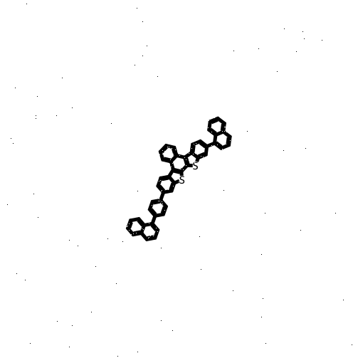 c1ccc2c(-c3ccc(-c4ccc5c(c4)sc4c6sc7cc(-c8cccc9ccccc89)ccc7c6c6ccccc6c54)cc3)cccc2c1